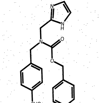 O=Cc1ccc(CN(Cc2ncc[nH]2)C(=O)OCc2ccccc2)cc1